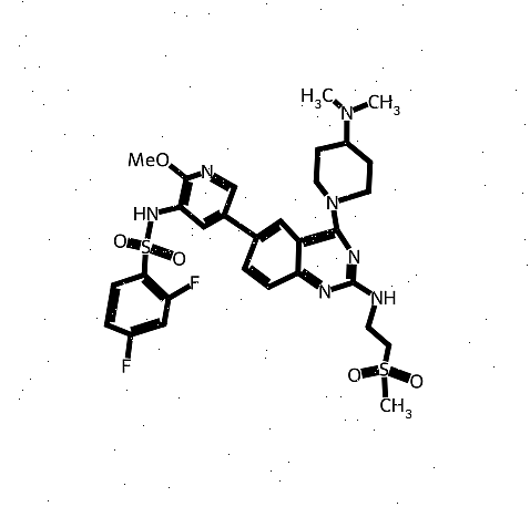 COc1ncc(-c2ccc3nc(NCCS(C)(=O)=O)nc(N4CCC(N(C)C)CC4)c3c2)cc1NS(=O)(=O)c1ccc(F)cc1F